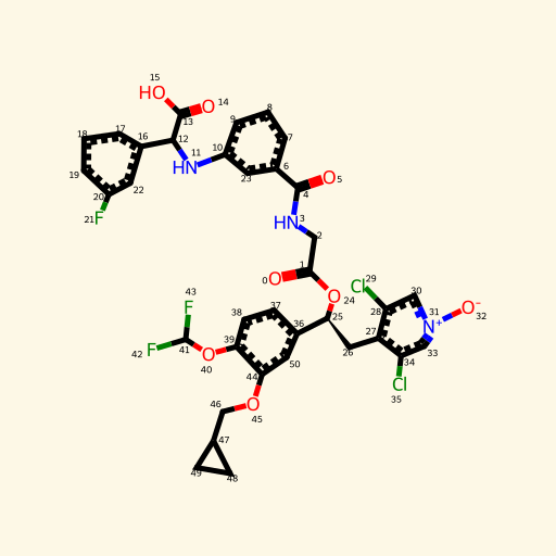 O=C(CNC(=O)c1cccc(NC(C(=O)O)c2cccc(F)c2)c1)O[C@@H](Cc1c(Cl)c[n+]([O-])cc1Cl)c1ccc(OC(F)F)c(OCC2CC2)c1